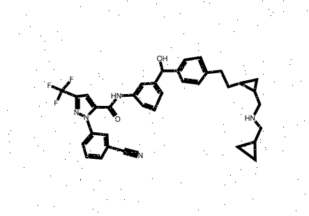 N#Cc1cccc(-n2nc(C(F)(F)F)cc2C(=O)Nc2cccc(C(O)c3ccc(CCC4CC4CNCC4CC4)cc3)c2)c1